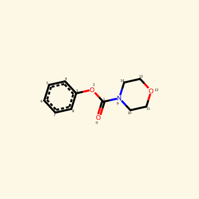 O=C(Oc1[c]cccc1)N1CCOCC1